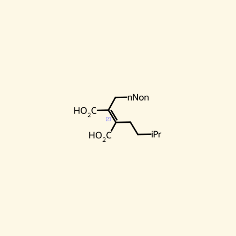 CCCCCCCCCC/C(C(=O)O)=C(\CCC(C)C)C(=O)O